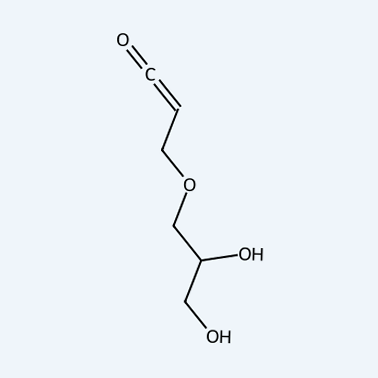 O=C=CCOCC(O)CO